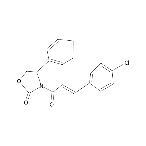 O=C(C=Cc1ccc(Cl)cc1)N1C(=O)OCC1c1ccccc1